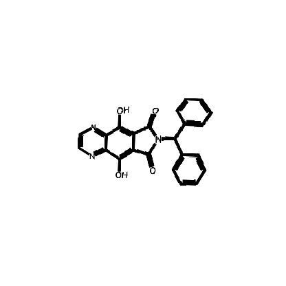 O=C1c2c(c(O)c3nccnc3c2O)C(=O)N1C(c1ccccc1)c1ccccc1